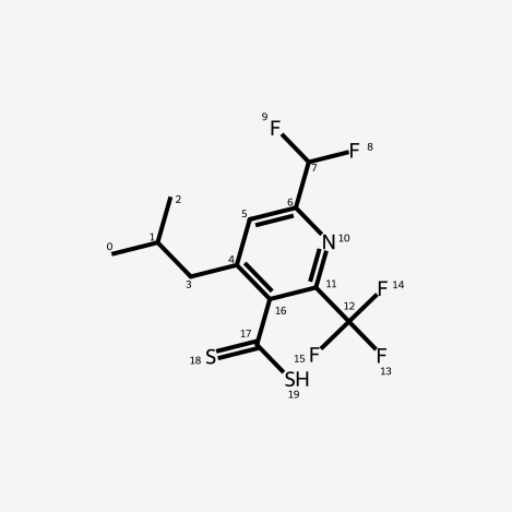 CC(C)Cc1cc(C(F)F)nc(C(F)(F)F)c1C(=S)S